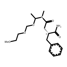 COCCOCOC(C)N(C)C(=O)C[C@@H](Cc1ccccc1)C(N)=O